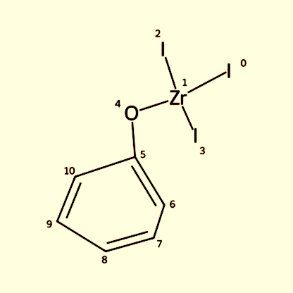 [I][Zr]([I])([I])[O]c1ccccc1